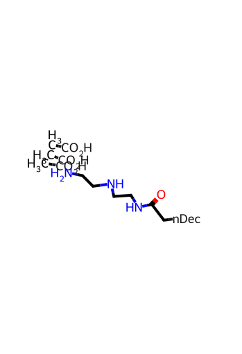 CC(=O)O.CC(=O)O.CC(=O)O.CCCCCCCCCCCC(=O)NCCNCCN